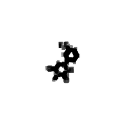 CN1C(=O)CN(c2cccc(C(F)(F)F)c2)NC1=O